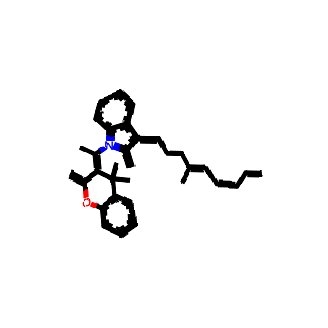 C=C/C=C\C=C(/C)CC/C=c1\c(=C)n(/C(C)=C2/C(=C)Oc3ccccc3C2(C)C)c2ccccc12